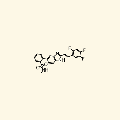 CNS(=O)(=O)c1ccccc1-c1ccc2[nH]c(C=Cc3cc(F)c(F)cc3F)nc2c1